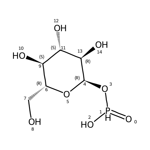 O=[PH](O)O[C@H]1O[C@H](CO)[C@@H](O)[C@H](O)[C@H]1O